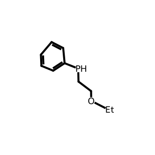 CCOCCPc1ccccc1